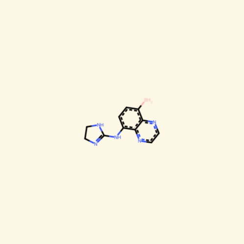 Bc1ccc(NC2=NCCN2)c2nccnc12